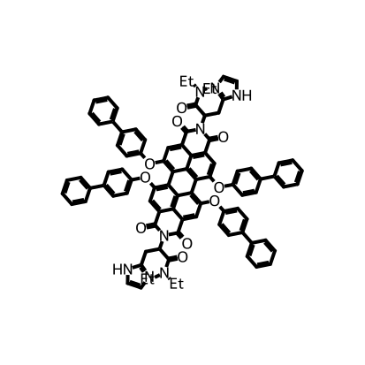 CCN(CC)C(=O)C(Cc1ncc[nH]1)N1C(=O)c2cc(Oc3ccc(-c4ccccc4)cc3)c3c4c(Oc5ccc(-c6ccccc6)cc5)cc5c6c(cc(Oc7ccc(-c8ccccc8)cc7)c(c7c(Oc8ccc(-c9ccccc9)cc8)cc(c2c37)C1=O)c64)C(=O)N(C(Cc1ncc[nH]1)C(=O)N(CC)CC)C5=O